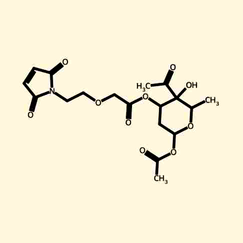 CC(=O)OC1CC(OC(=O)COCCN2C(=O)C=CC2=O)C(O)(C(C)=O)C(C)O1